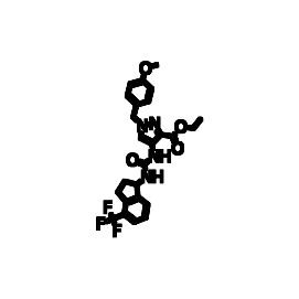 CCOC(=O)c1nn(Cc2ccc(OC)cc2)cc1NC(=O)NC1CCc2c1cccc2C(F)(F)F